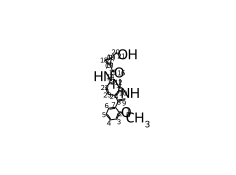 COc1ccccc1-c1c[nH]c2nc(NC(=O)[C@H]3C[C@H]3CO)ccc12